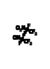 O=NC(F)(F)C(F)(F)F.O=[N+]([O-])C(F)(F)C(F)(F)F